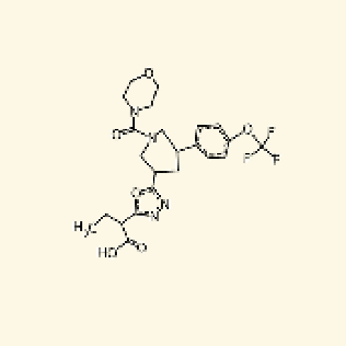 CCC(C(=O)O)c1nnc(C2CC(c3ccc(OC(F)(F)F)cc3)CN(C(=O)N3CCOCC3)C2)o1